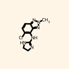 Cn1nc2ccc(Cl)c(NC3=NCCN3)c2n1